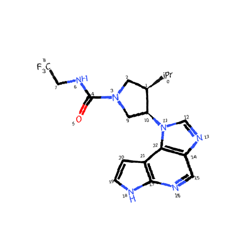 CC(C)[C@@H]1CN(C(=O)NCC(F)(F)F)C[C@@H]1n1cnc2cnc3[nH]ccc3c21